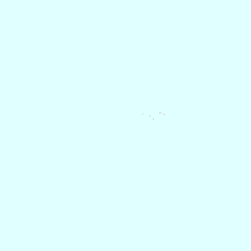 CCCCCCCCC(C)SCCN1C(=O)CCCC1=O